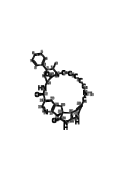 CC1C(c2ccccc2)CC2NC(=O)c3cnc4c(c3)C[C@@]3(C4)C(=O)Nc4[nH]c(cc43)CN(C)CCCCCN1C2=O